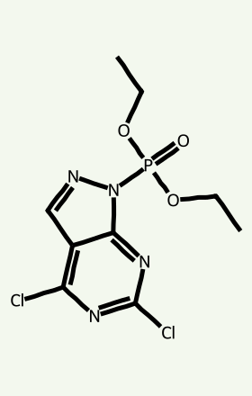 CCOP(=O)(OCC)n1ncc2c(Cl)nc(Cl)nc21